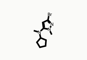 CN(c1cc(Br)nn1C)C1CCCC1